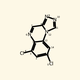 Clc1cc(Cl)c2ncc3nncn3c2c1